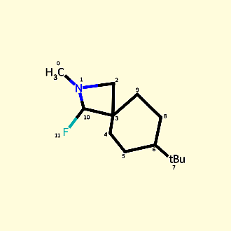 CN1CC2(CCC(C(C)(C)C)CC2)C1F